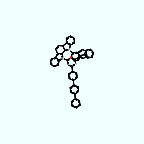 C1=CC(c2nc(-c3ccc(-c4ccc(-c5ccccc5)cc4)cc3)nc(-n3c4c(c5ccccc53)C=CC3c5ccccc5N(c5cccc(-c6ccccc6)c5)C43)n2)=CCC1